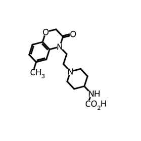 Cc1ccc2c(c1)N(CCN1CCC(NC(=O)O)CC1)C(=O)CO2